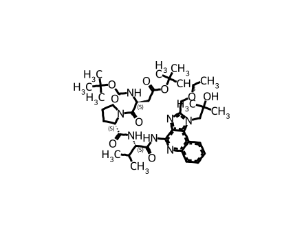 CCOCc1nc2c(NC(=O)[C@@H](NC(=O)[C@@H]3CCCN3C(=O)[C@H](CC(=O)OC(C)(C)C)NC(=O)OC(C)(C)C)C(C)C)nc3ccccc3c2n1CC(C)(C)O